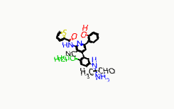 C[C@@](N)(C=O)Nc1ccc(Cl)c(-c2cc(-c3ccccc3O)nc(NC(=O)c3cccs3)c2C#N)c1.Cl.Cl